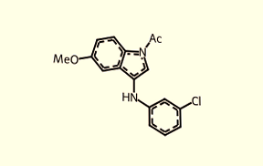 COc1ccc2c(c1)c(Nc1cccc(Cl)c1)cn2C(C)=O